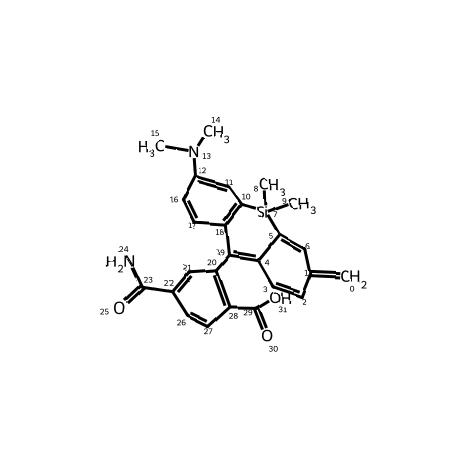 C=c1ccc2c(c1)[Si](C)(C)c1cc(N(C)C)ccc1C=2c1cc(C(N)=O)ccc1C(=O)O